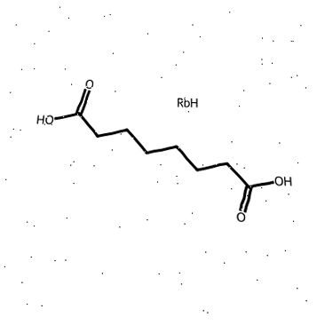 O=C(O)CCCCCCC(=O)O.[RbH]